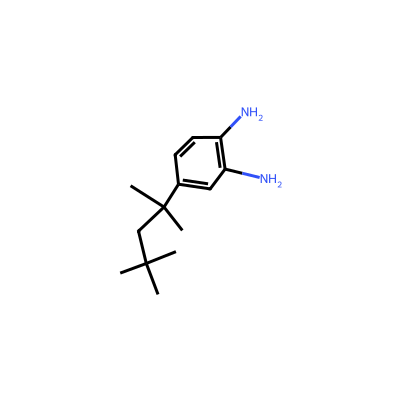 CC(C)(C)CC(C)(C)c1ccc(N)c(N)c1